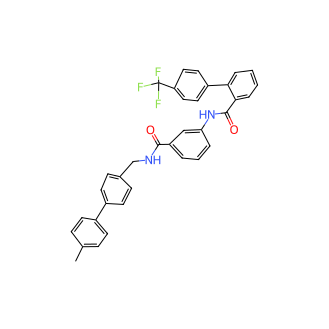 Cc1ccc(-c2ccc(CNC(=O)c3cccc(NC(=O)c4ccccc4-c4ccc(C(F)(F)F)cc4)c3)cc2)cc1